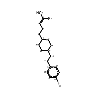 N#CC(F)=CCCC1CCC(CCc2ccc(F)cc2)CC1